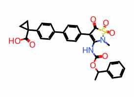 CC(OC(=O)NC1=C(c2ccc(-c3ccc(C4(C(=O)O)CC4)cc3)cc2)C(=O)S(=O)(=O)N1C)c1ccccc1